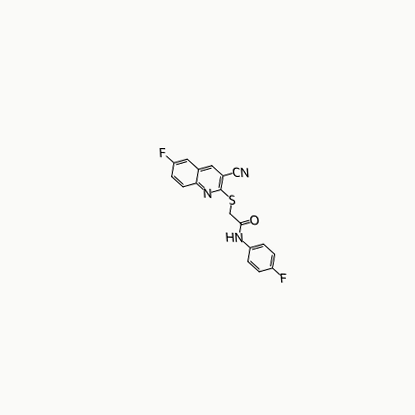 N#Cc1cc2cc(F)ccc2nc1SCC(=O)Nc1ccc(F)cc1